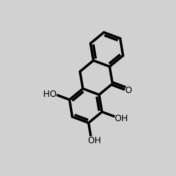 O=C1c2ccccc2Cc2c(O)cc(O)c(O)c21